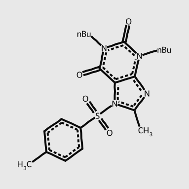 CCCCn1c(=O)c2c(nc(C)n2S(=O)(=O)c2ccc(C)cc2)n(CCCC)c1=O